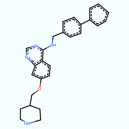 c1ccc(-c2ccc(CNc3ncnc4cc(OCC5CCNCC5)ccc34)cc2)cc1